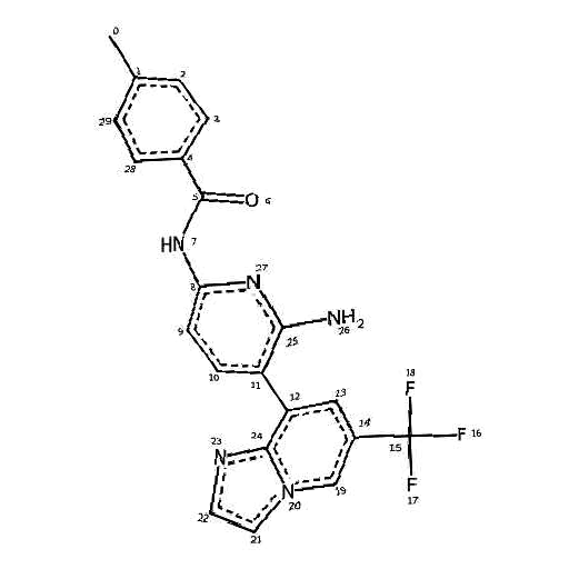 Cc1ccc(C(=O)Nc2ccc(-c3cc(C(F)(F)F)cn4ccnc34)c(N)n2)cc1